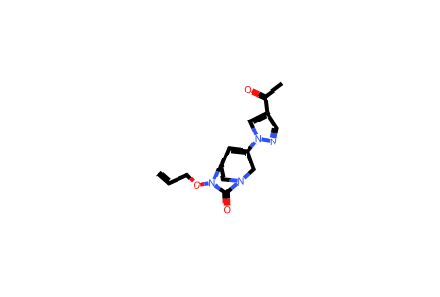 C=CCON1C(=O)N2CC(n3cc(C(C)=O)cn3)=CC1C2